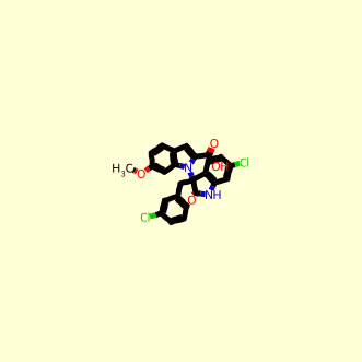 COc1ccc2cc(C(=O)O)n(C3(Cc4cccc(Cl)c4)C(=O)Nc4cc(Cl)ccc43)c2c1